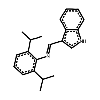 CC(C)c1cccc(C(C)C)c1N=Cc1c[nH]c2ccccc12